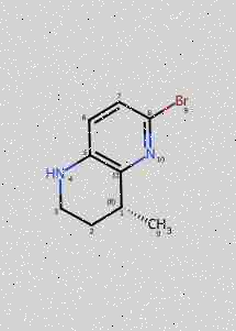 C[C@@H]1CCNc2ccc(Br)nc21